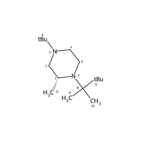 C[C@@H]1CN(C(C)(C)C)CCN1C(C)(C)C(C)(C)C